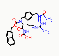 N=C(N)NCCC[C@H](C(=O)NC(=O)O)N(Cc1ccc(CNC(N)=O)cc1)C(=O)OCc1ccc2ccccc2c1